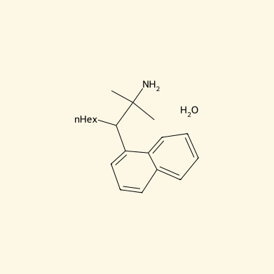 CCCCCCC(c1cccc2ccccc12)C(C)(C)N.O